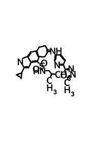 Cc1nnc(-c2ccc(N[C@@H]3CCc4cc5cnc(C6CC6)cc5c(S(=O)(=O)NCC(C)C)c4C3)cn2)o1